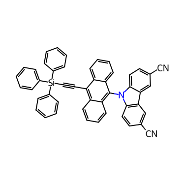 N#Cc1ccc2c(c1)c1cc(C#N)ccc1n2-c1c2ccccc2c(C#C[Si](c2ccccc2)(c2ccccc2)c2ccccc2)c2ccccc12